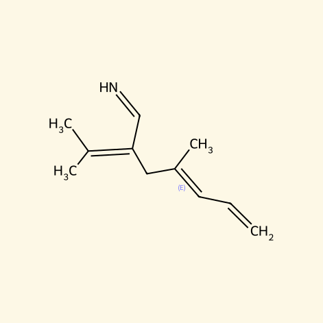 C=C/C=C(\C)CC(C=N)=C(C)C